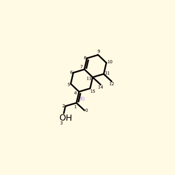 C/C(CO)=C1/CCC2=CCCC(C)C2(C)C1